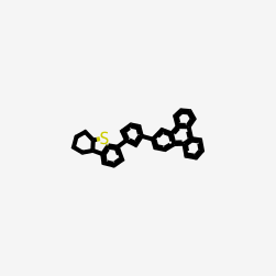 c1cc(-c2ccc3c4ccccc4c4ccccc4c3c2)cc(-c2cccc3c2SC2CCCCC32)c1